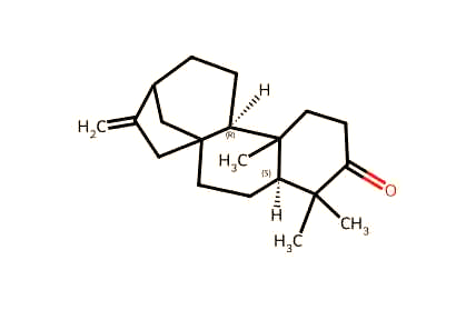 C=C1CC23CC[C@@H]4C(C)(C)C(=O)CCC4(C)[C@@H]2CCC1C3